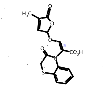 CC1=CC(O/C=C(/C(=O)O)N2C(=O)CSc3ccccc32)OC1=O